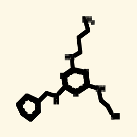 NCCCNc1nc(NCCS)nc(NCc2ccccc2)n1